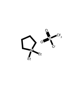 CC[N+]1(CC)CCCC1.O=S(=O)([O-])C(F)(F)F